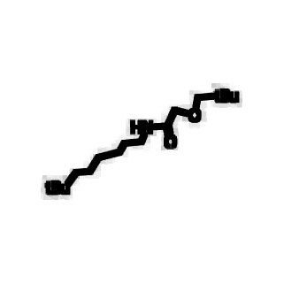 CC(C)(C)CCCCCCNC(=O)COCC(C)(C)C